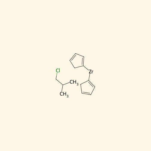 C1=CC[C]([Zr][C]2=CC=CC2)=C1.CC(C)CCl